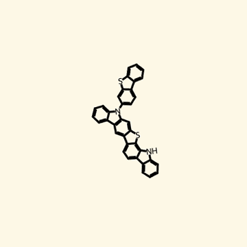 c1ccc2c(c1)[nH]c1c2ccc2c3cc4c5ccccc5n(-c5ccc6c(c5)sc5ccccc56)c4cc3sc21